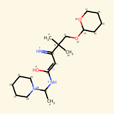 CC(N/C(O)=C/C(=N)C(C)(C)COC1CCCCO1)N1CCCCC1